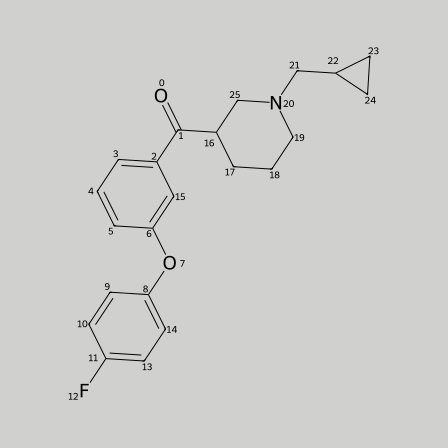 O=C(c1cccc(Oc2ccc(F)cc2)c1)C1CCCN(CC2CC2)C1